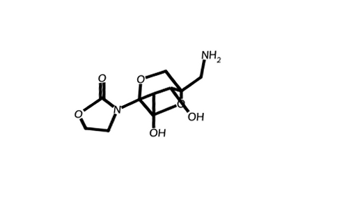 NCC12COC(N3CCOC3=O)(CO1)C(O)C2O